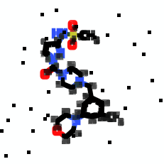 CS(=O)(=O)Nc1ccn(C(=O)N2CCN(Cc3cc(N4CCOCC4)cc(C(F)(F)F)c3)CC2)n1